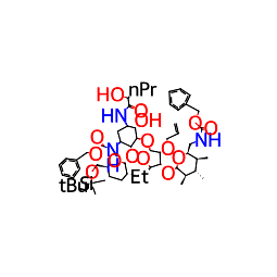 C=CCO[C@H]1[C@H](O[C@@H]2[C@@H](O)[C@H](NC(=O)[C@@H](O)CCC)C[C@H](NC(=O)OCc3ccccc3)[C@H]2O[C@H]2O[C@H](CO[Si](C)(C)C(C)(C)C)CC[C@H]2C)O[C@H](CC)[C@H]1O[C@H]1O[C@@H](CNC(=O)OCc2ccccc2)[C@@H](C)[C@H](C)[C@H]1C